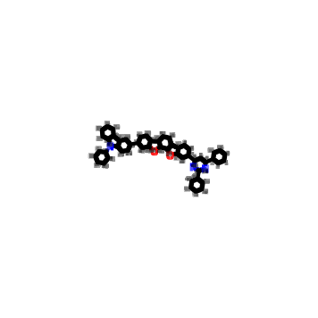 c1ccc(-c2cc(-c3ccc4c(c3)oc3c4ccc4c5ccc(-c6ccc7c(c6)c6ccccc6n7-c6ccccc6)cc5oc43)nc(-c3ccccc3)n2)cc1